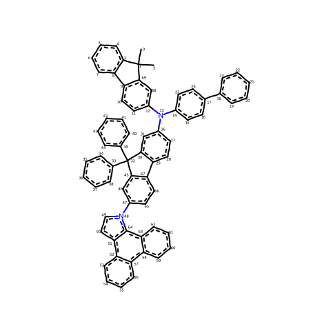 CC1(C)c2ccccc2-c2ccc(N(c3ccc(-c4ccccc4)cc3)c3ccc4c(c3)C(c3ccccc3)(c3ccccc3)c3cc(-n5ccc6c7ccccc7c7ccccc7c65)ccc3-4)cc21